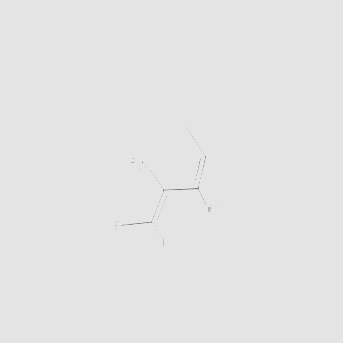 C/C=C(\C(=C(\F)CC)C(F)(F)F)C(C)C